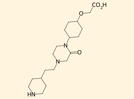 O=C(O)COC1CCC(N2CCN(CCC3CCNCC3)CC2=O)CC1